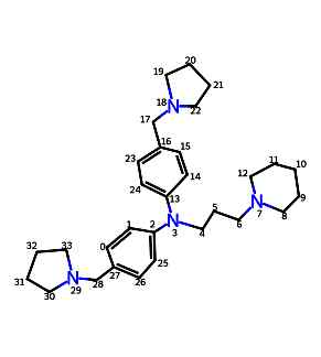 c1cc(N(CCCN2CCCCC2)c2ccc(CN3CCCC3)cc2)ccc1CN1CCCC1